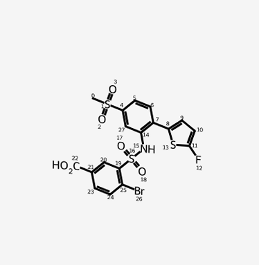 CS(=O)(=O)c1ccc(-c2ccc(F)s2)c(NS(=O)(=O)c2cc(C(=O)O)ccc2Br)c1